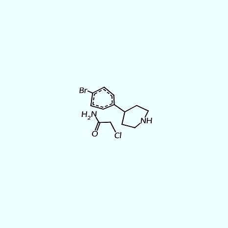 Brc1ccc(C2CCNCC2)cc1.NC(=O)CCl